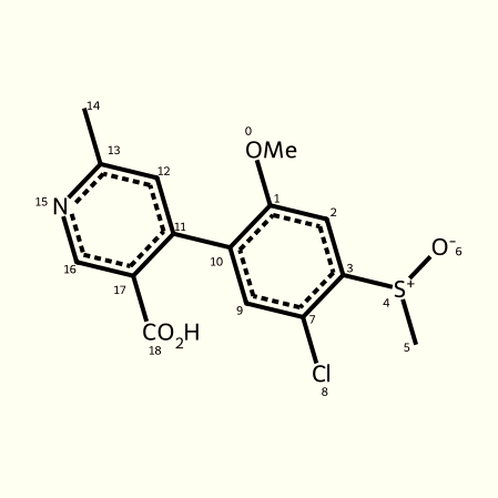 COc1cc([S+](C)[O-])c(Cl)cc1-c1cc(C)ncc1C(=O)O